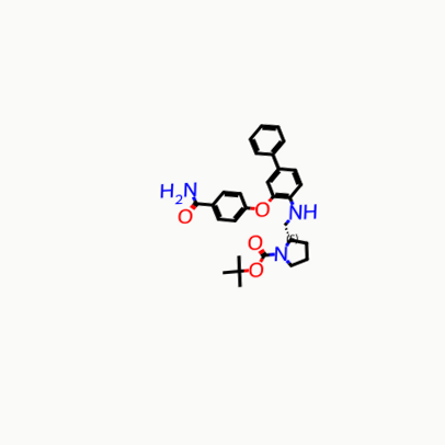 CC(C)(C)OC(=O)N1CCC[C@H]1CNc1ccc(-c2ccccc2)cc1Oc1ccc(C(N)=O)cc1